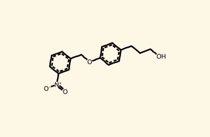 O=[N+]([O-])c1cccc(COc2ccc(CCCO)cc2)c1